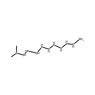 BBBBBBBBBBB(C)C